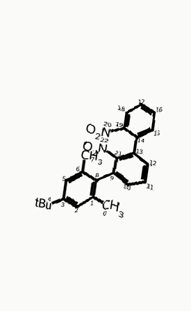 Cc1cc(C(C)(C)C)cc(C)c1-c1cc[c]c(-c2ccccc2[N+](=O)[O-])c1[N+](=O)[O-]